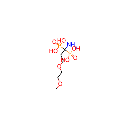 COCCOCCC(N)(P(=O)(O)O)P(=O)(O)O